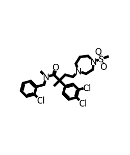 CN(Cc1ccccc1Cl)C(=O)C(C)(CCN1CCCN(S(C)(=O)=O)CC1)c1ccc(Cl)c(Cl)c1